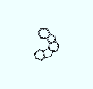 c1ccc2c(c1)Cc1ccc3sc4ccccc4c3c1-2